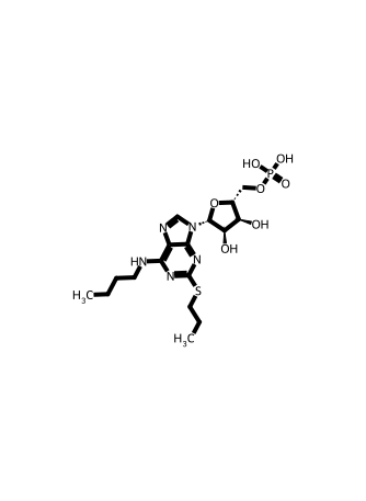 CCCCNc1nc(SCCC)nc2c1ncn2[C@@H]1O[C@H](COP(=O)(O)O)[C@@H](O)[C@H]1O